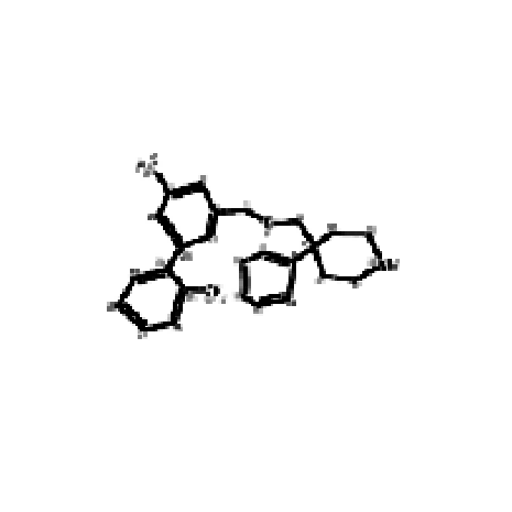 FC(F)(F)c1cc(COCC2(c3ccccc3)CCNCC2)cc(-c2ccccc2C(F)(F)F)c1